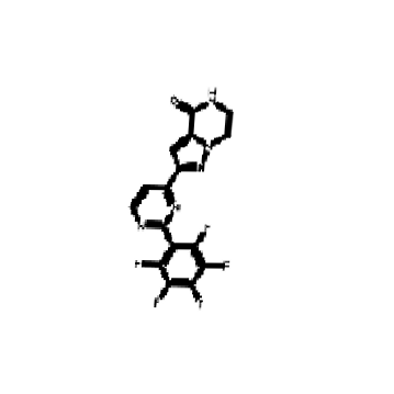 O=C1NCCn2nc(-c3ccnc(-c4c(F)c(F)c(F)c(F)c4F)n3)cc21